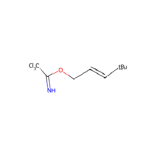 CC(C)(C)/C=C/COC(=N)C(Cl)(Cl)Cl